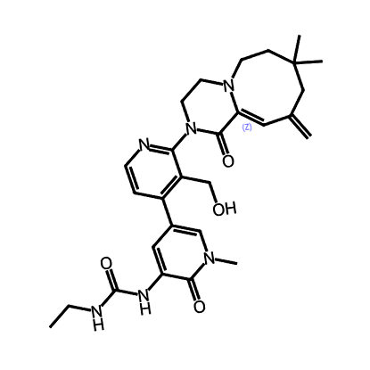 C=C1/C=C2/C(=O)N(c3nccc(-c4cc(NC(=O)NCC)c(=O)n(C)c4)c3CO)CCN2CCC(C)(C)C1